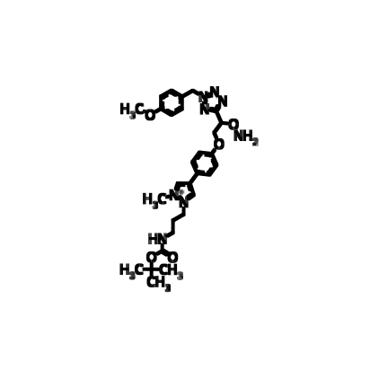 COc1ccc(Cn2nnc(C(COc3ccc(-c4cn(CCCNC(=O)OC(C)(C)C)[n+](C)c4)cc3)ON)n2)cc1